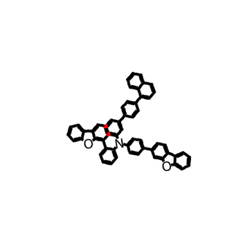 c1cc(-c2ccc(-c3cccc4ccccc34)cc2)cc(N(c2ccc(-c3ccc4c(c3)oc3ccccc34)cc2)c2ccccc2-c2cccc3c2oc2ccccc23)c1